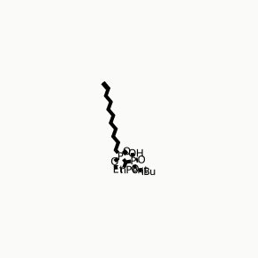 C=CCCCCCCCCCP(=O)(OCC)C(CCCCC)P(=O)(O)OC(C)CC